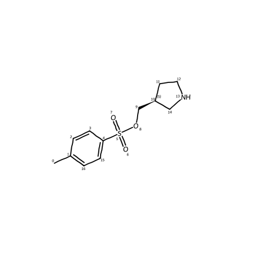 Cc1ccc(S(=O)(=O)OC[C@H]2CCNC2)cc1